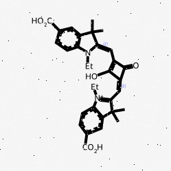 CCN1/C(=C\C2=C(O)C(=C\C3=[N+](CC)c4ccc(C(=O)O)cc4C3(C)C)/C2=O)C(C)(C)c2cc(C(=O)O)ccc21